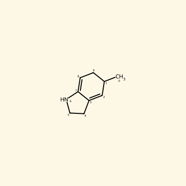 CC1C=C2CCNC2=CC1